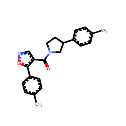 Cc1ccc(-c2oncc2C(=O)N2CCC(c3ccc(C(F)(F)F)cc3)C2)cc1